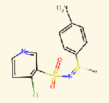 C[S@](=NS(=O)(=O)c1cnccc1Cl)c1ccc([N+](=O)[O-])cc1